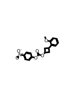 COc1ccccc1C1CC(OC(=O)Oc2ccc([N+](=O)[O-])cc2)C1